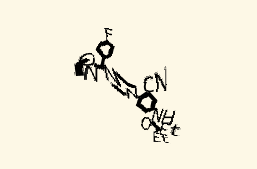 CCC(CC)C(=O)Nc1ccc(N2CCN(C(c3ccc(F)cc3)c3ncco3)CC2)c(C#N)c1